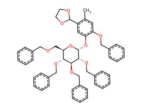 Cc1cc(OCc2ccccc2)c(O[C@H]2O[C@H](COCc3ccccc3)[C@@H](OCc3ccccc3)[C@H](OCc3ccccc3)[C@H]2OCc2ccccc2)cc1C1OCCO1